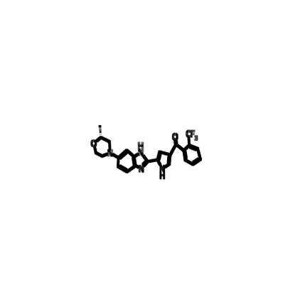 C[C@@H]1CN(c2ccc3nc(-c4cc(C(=O)c5ccccc5C(F)(F)F)c[nH]4)[nH]c3c2)CCO1